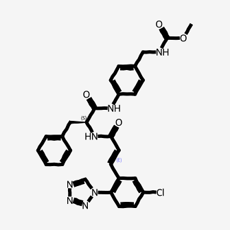 COC(=O)NCc1ccc(NC(=O)[C@H](Cc2ccccc2)NC(=O)/C=C/c2cc(Cl)ccc2-n2cnnn2)cc1